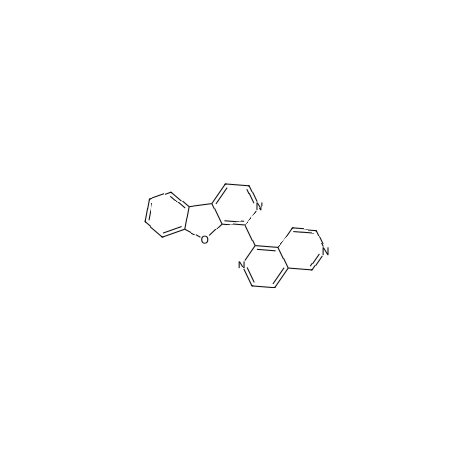 c1ccc2c(c1)oc1c(-c3nccc4cnccc34)nccc12